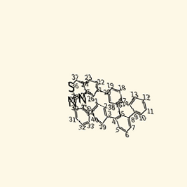 c1ccc(-c2cccc(-c3ccccc3)c2-c2cccc(-c3ccc4c(c3)-n3c(nc5ccccc53)SC4)c2)cc1